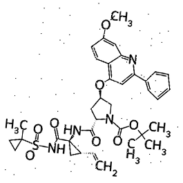 C=C[C@@H]1C[C@]1(NC(=O)[C@@H]1C[C@@H](Oc2cc(-c3ccccc3)nc3cc(OC)ccc23)CN1C(=O)OC(C)(C)C)C(=O)NS(=O)(=O)C1(C)CC1